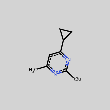 Cc1cc(C2CC2)nc(C(C)(C)C)n1